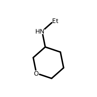 CCNC1CCCOC1